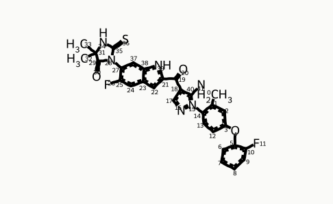 Cc1cc(Oc2ccccc2F)ccc1-n1ncc(C(=O)c2cc3cc(F)c(N4C(=O)C(C)(C)NC4=S)cc3[nH]2)c1N